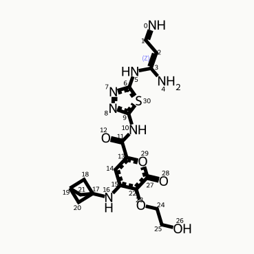 N=C/C=C(/N)Nc1nnc(NC(=O)c2cc(NC34CC(C3)C4)c(OCCO)c(=O)o2)s1